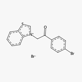 O=C(C[n+]1csc2ccccc21)c1ccc(Br)cc1.[Br-]